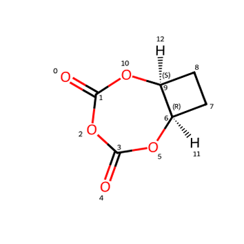 O=C1OC(=O)O[C@@H]2CC[C@@H]2O1